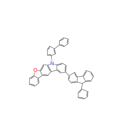 c1ccc(-c2cccc(-n3c4ccc(-c5ccc6c(c5)-c5ccccc5C6c5ccccc5)cc4c4cc5c(cc43)oc3ccccc35)c2)cc1